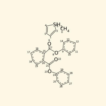 C.C1=C[SiH2]C=C1.O=C(Oc1ccccc1)c1ccccc1C(=O)Oc1ccccc1